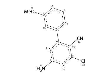 COc1cccc(-c2nc(N)nc(Cl)c2C#N)c1